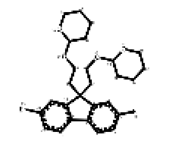 Brc1ccc2c(c1)C(CCOC1CCCCO1)(CCOC1CCCCO1)c1cc(Br)ccc1-2